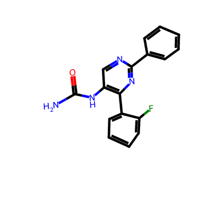 NC(=O)Nc1cnc(-c2ccccc2)nc1-c1ccccc1F